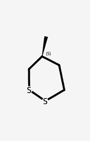 C[C@H]1CCSSC1